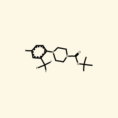 CC(C)(C)OC(=O)N1CCN(c2ccc(I)cc2C(F)(F)F)CC1